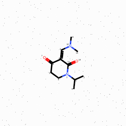 CC(C)N1CCC(=O)/C(=C/N(C)C)C1=O